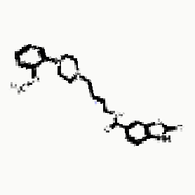 COc1ccccc1N1CCN(C/C=C/CNC(=O)c2ccc3[nH]c(=O)sc3c2)CC1